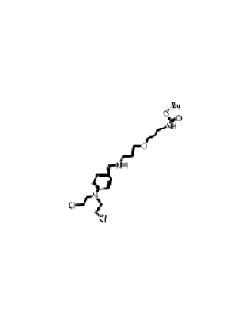 CC(C)(C)OC(=O)NCCCOCCCNCc1ccc(N(CCCl)CCCl)cc1